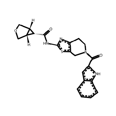 O=C(Nc1nc2c(s1)CN(C(=O)c1cc3ccccc3[nH]1)CC2)[C@@H]1[C@@H]2COC[C@@H]21